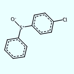 [O-][S+](c1ccccc1)c1ccc(Cl)cc1